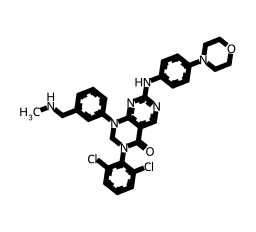 CNCc1cccc(N2CN(c3c(Cl)cccc3Cl)C(=O)c3cnc(Nc4ccc(N5CCOCC5)cc4)nc32)c1